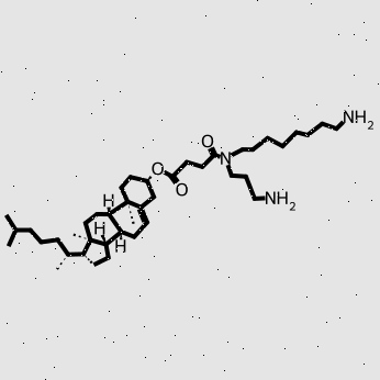 CC(C)CCC[C@@H](C)[C@H]1CC[C@H]2[C@@H]3CC=C4C[C@@H](OC(=O)CCC(=O)N(CCCN)CCCCCCCCN)CC[C@]4(C)[C@H]3CC[C@]12C